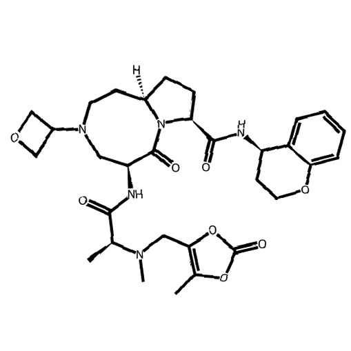 Cc1oc(=O)oc1CN(C)[C@@H](C)C(=O)N[C@H]1CN(C2COC2)CC[C@H]2CC[C@@H](C(=O)N[C@@H]3CCOc4ccccc43)N2C1=O